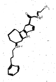 CCNC(=O)c1ccc2[nH]c3c(c2c1)CCCC3NCCCc1ccccc1